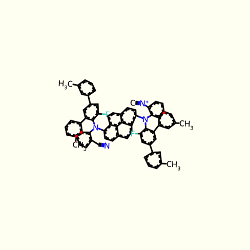 [C-]#[N+]c1ccccc1N(c1c(F)cc(-c2cccc(C)c2)cc1-c1cccc(C)c1)c1ccc2ccc3c(N(c4ccccc4C#N)c4c(F)cc(-c5cccc(C)c5)cc4-c4cccc(C)c4)ccc4ccc1c2c43